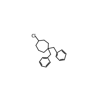 ClC1CCCC(Cc2ccccc2)(Cc2ccccc2)CC1